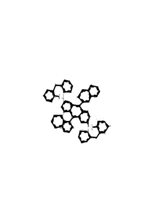 c1ccc2c(c1)Cc1ccccc1N2c1ccc2c(-c3cccc4ccccc34)c3cc(N4c5ccccc5Cc5ccccc54)ccc3c(-c3ccc4ccccc4c3)c2c1